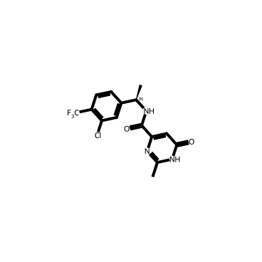 Cc1nc(C(=O)N[C@H](C)c2ccc(C(F)(F)F)c(Cl)c2)cc(=O)[nH]1